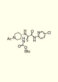 CC(=O)N1CC[C@H](NC(=S)C(=O)Nc2ccc(Cl)cn2)[C@H](NC(=O)OC(C)(C)C)C1